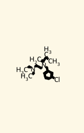 C=C(C(C)C)N(CCN(CC)CC)Cc1cccc(Cl)c1